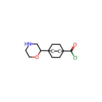 O=C(Cl)C12CCC(C3CNCCO3)(CC1)CC2